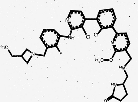 COc1nc(-c2cccc(-c3ccnc(Nc4cccc(CN5CC(CO)C5)c4F)c3Cl)c2Cl)ccc1CNCC1CCC(=O)N1